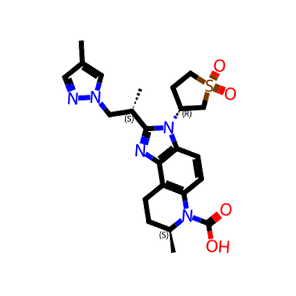 Cc1cnn(C[C@H](C)c2nc3c4c(ccc3n2[C@@H]2CCS(=O)(=O)C2)N(C(=O)O)[C@@H](C)CC4)c1